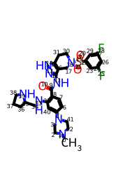 CN1CCN(c2ccc(C(=O)Nc3n[nH]c4c3CN(S(=O)(=O)c3cc(F)cc(F)c3)CC4)c(NCC3CCCN3)c2)CC1